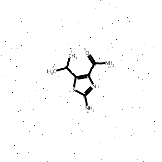 CC(C)c1sc(N)nc1C(N)=O